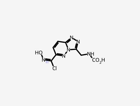 O=C(O)NCc1nnc2ccc(/C(Cl)=N\O)nn12